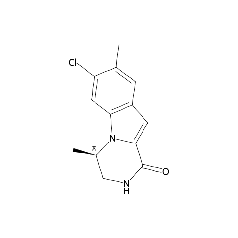 Cc1cc2cc3n(c2cc1Cl)[C@H](C)CNC3=O